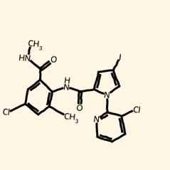 CNC(=O)c1cc(Cl)cc(C)c1NC(=O)c1cc(I)cn1-c1ncccc1Cl